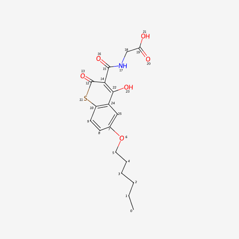 CCCCCCOc1ccc2sc(=O)c(C(=O)NCC(=O)O)c(O)c2c1